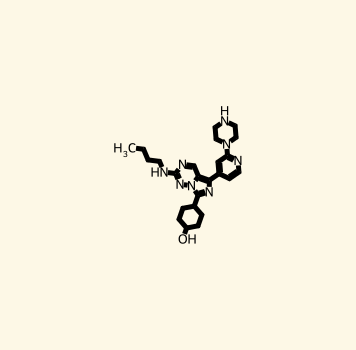 CCCCNc1ncc2c(-c3ccnc(N4CCNCC4)c3)nc(C3CCC(O)CC3)n2n1